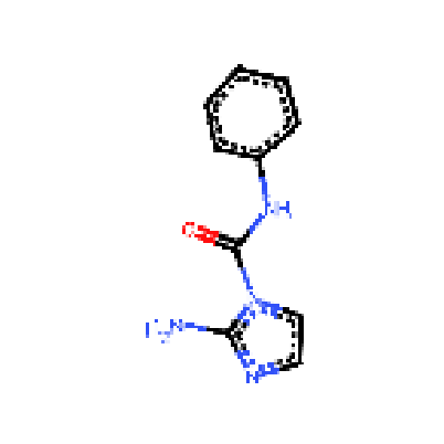 Nc1nccn1C(=O)Nc1ccccc1